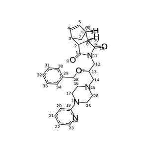 O=C1C2C3C=C[C@@H](C3)[C@@H]2C(=O)N1CC(CN1CCN(c2ccccn2)CC1)OCc1ccccc1